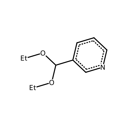 CCOC(OCC)c1cccnc1